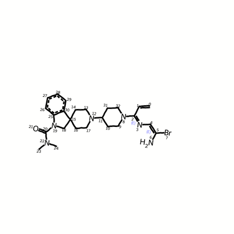 C=C/C(=N\C=C(/N)Br)N1CCC(N2CCC3(CC2)CN(C(=O)N(C)C)c2ccccc23)CC1